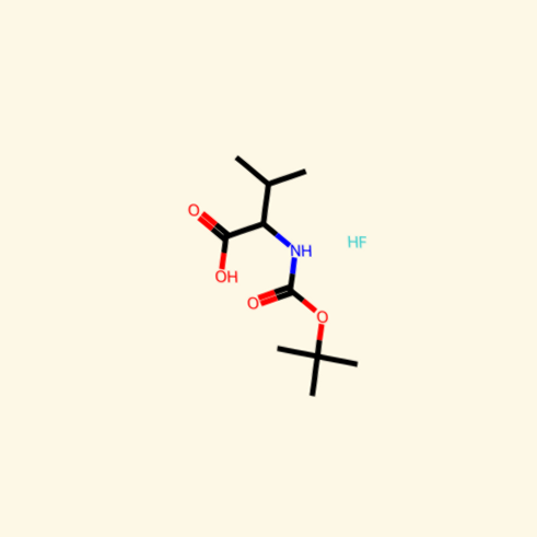 CC(C)C(NC(=O)OC(C)(C)C)C(=O)O.F